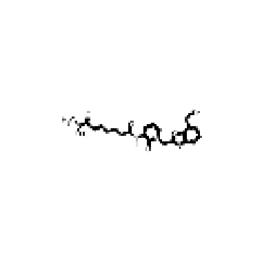 CC(C)Cc1cccc2nc(Cn3cccc(NC(=O)CCC/C=C/C(=O)N(C)C)c3=O)oc12